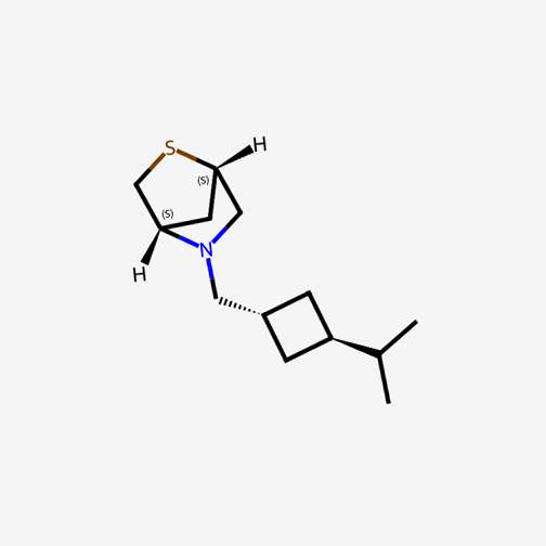 CC(C)[C@H]1C[C@H](CN2C[C@@H]3C[C@H]2CS3)C1